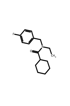 CCN(Cc1ccc(F)cc1)C(=O)C1CCCCC1